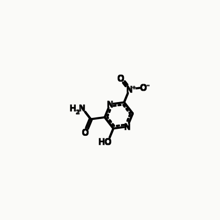 NC(=O)c1nc([N+](=O)[O-])cnc1O